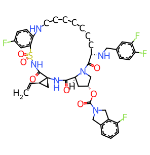 C=C[C@@H]1C[C@@]12NC(=O)[C@@H]1C[C@@H](OC(=O)N3Cc4cccc(F)c4C3)CN1C(=O)[C@@H](NCc1ccc(F)c(F)c1)CCCCCCCNc1ccc(F)cc1S(=O)(=O)NC2=O